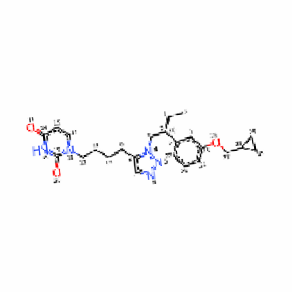 CC[C@H](Cn1nncc1CCCCn1ccc(=O)[nH]c1=O)c1cccc(OCC2CC2)c1